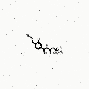 CC(C)(C)OC(=O)NC(=N)c1ccc(CN=[N+]=[N-])c(Cl)c1